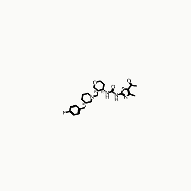 CC(=O)c1sc(NC(=O)N[C@@H]2CCOC[C@@H]2CN2CCC[C@@H](Cc3ccc(F)cc3)C2)nc1C